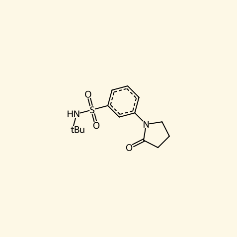 CC(C)(C)NS(=O)(=O)c1cccc(N2CCCC2=O)c1